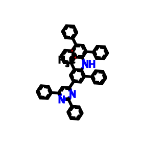 Cc1cc(-c2ccccc2)cc(-c2ccccc2)c1Nc1c(-c2ccccc2)cc(-c2cc(-c3ccccc3)nc(-c3ccccc3)n2)cc1-c1ccccc1